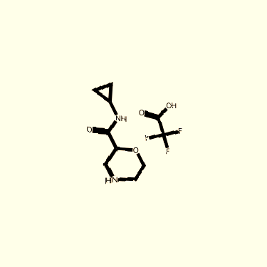 O=C(NC1CC1)C1CNCCO1.O=C(O)C(F)(F)F